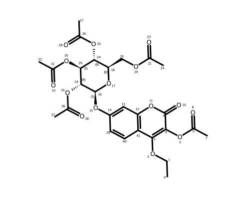 CCOc1c(OC(C)=O)c(=O)oc2cc(O[C@@H]3O[C@H](COC(C)=O)[C@@H](OC(C)=O)[C@H](OC(C)=O)[C@H]3OC(C)=O)ccc12